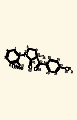 COc1ccccc1N1CC[C@@](C)(C(=O)c2ccc(C(F)(F)F)cc2)C1=O